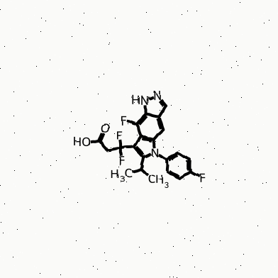 CC(C)c1c(C(F)(F)CC(=O)O)c2c(F)c3[nH]ncc3cc2n1-c1ccc(F)cc1